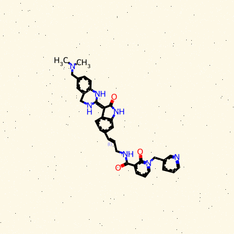 CN(C)Cc1ccc2c(c1)CNC(=C1C(=O)Nc3cc(/C=C/CNC(=O)c4cccn(Cc5cccnc5)c4=O)ccc31)N2